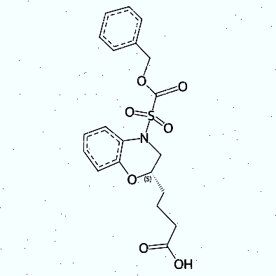 O=C(O)CCC[C@H]1CN(S(=O)(=O)C(=O)OCc2ccccc2)c2ccccc2O1